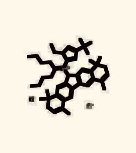 CCCC[C](CCCC)=[Zr+2]([C]1=CC(C(C)(C)C)=CC1CC)[CH]1c2cc3c(cc2-c2cc4c(cc21)C(C)(C)CC=C4C)C(C)=CCC3(C)C.[Cl-].[Cl-]